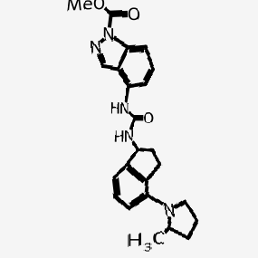 COC(=O)n1ncc2c(NC(=O)NC3CCc4c3cccc4N3CCCC3C)cccc21